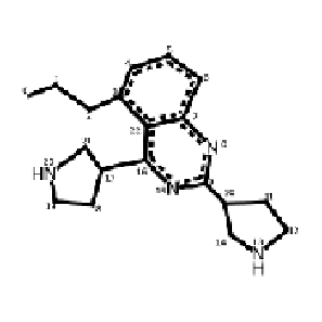 CCCc1cccc2nc(C3CCNC3)nc(C3CCNC3)c12